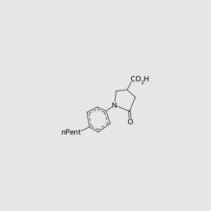 CCCCCc1ccc(N2CC(C(=O)O)CC2=O)cc1